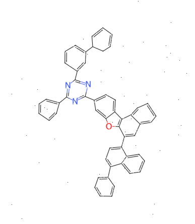 C1=CCC(c2cccc(-c3nc(-c4ccccc4)nc(-c4ccc5c(c4)oc4c(-c6ccc(-c7ccccc7)c7ccccc67)cc6ccccc6c45)n3)c2)C=C1